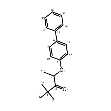 CC(C)(C)C(=O)C(F)Oc1ccc(-c2ccccc2)cc1